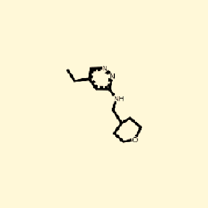 CCc1cnnc(NCC2CCOCC2)c1